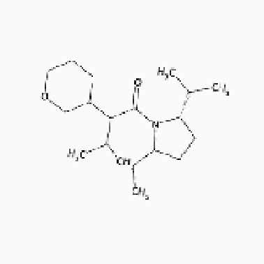 CCC1CC[C@@H](C(C)C)N1C(=O)C(C(C)C)C1CCCOC1